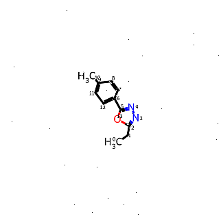 CCc1nnc(-c2ccc(C)cc2)o1